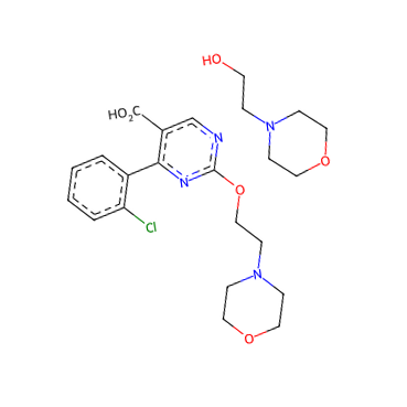 O=C(O)c1cnc(OCCN2CCOCC2)nc1-c1ccccc1Cl.OCCN1CCOCC1